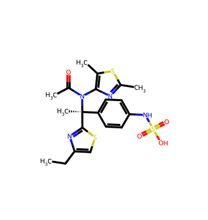 CCc1csc([C@](C)(c2ccc(NS(=O)(=O)O)cc2)N(C(C)=O)c2nc(C)sc2C)n1